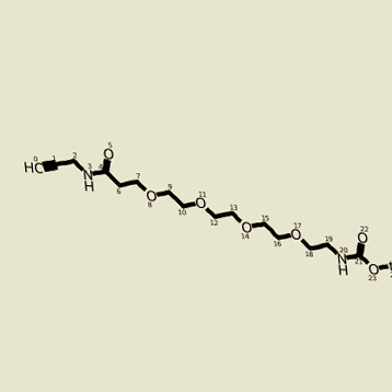 C#CCNC(=O)CCOCCOCCOCCOCCNC(=O)OC(C)(C)C